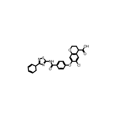 O=C(Nc1nc(C2C=CC=CC2)ns1)c1ccc(Oc2cc3c(cc2Cl)C(C(=O)O)CCO3)cc1